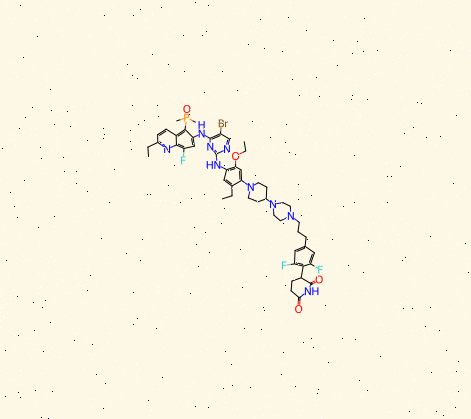 CCOc1cc(N2CCC(N3CCN(CCCc4cc(F)c(C5CCC(=O)NC5=O)c(F)c4)CC3)CC2)c(CC)cc1Nc1ncc(Br)c(Nc2cc(F)c3nc(CC)ccc3c2P(C)(C)=O)n1